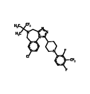 CC(C)(N1Cc2cc(Cl)ccc2-n2c(nnc2C2CCN(c3ccc(F)c(C(F)(F)F)c3F)CC2)C1)C(F)(F)F